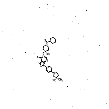 C[C@@]1(O)CCN(c2ccc(-n3ncc4c(=O)n(CC5(O)CCN(C(=O)C6CCCCC6)CC5)cnc43)cc2)C1